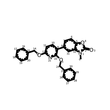 Cn1c(=O)oc2ccc(-c3ccc(OCc4ccccc4)nc3OCc3ccccc3)cc21